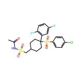 CC(=O)NS(=O)(=O)CC1CCC(c2cc(F)ccc2F)(S(=O)(=O)c2ccc(Cl)cc2)CC1